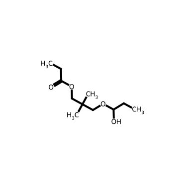 CCC(=O)OCC(C)(C)COC(O)CC